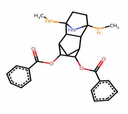 CPC12CCC(PC)(N1)C1C3CC(C(OC(=O)c4ccccc4)C3OC(=O)c3ccccc3)C12